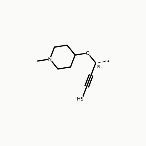 C[C@H](C#CS)OC1CCN(C)CC1